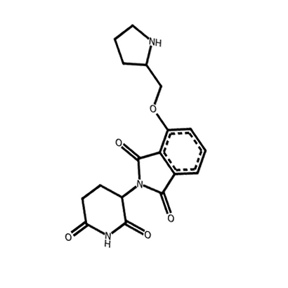 O=C1CCC(N2C(=O)c3cccc(OCC4CCCN4)c3C2=O)C(=O)N1